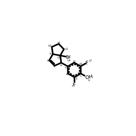 Oc1c(F)cc(C2C=CC3CCCC32Br)cc1F